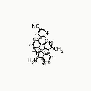 Cc1cc(C2(c3cc(-c4cncc(C#N)c4)ccc3F)N=C(N)c3c(F)cccc32)ccn1